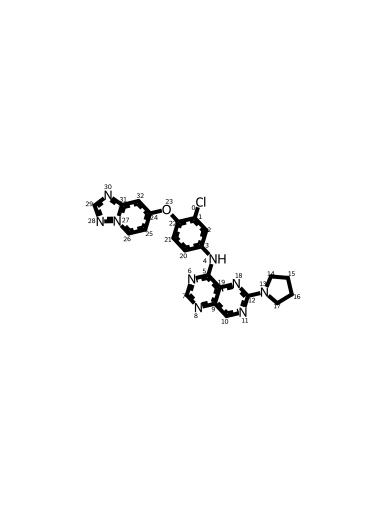 Clc1cc(Nc2ncnc3cnc(N4CCCC4)nc23)ccc1Oc1ccn2ncnc2c1